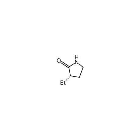 CC[C@H]1CCNC1=O